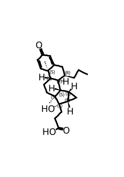 CCC[C@@H]1CC2=CC(=O)C=C[C@]2(C)[C@H]2CC[C@@]3(C)[C@@H]([C@@H]4C[C@@H]4[C@@]3(O)CCC(=O)O)[C@H]12